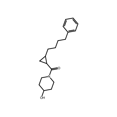 O=C(C1CC1CCCCc1ccccc1)N1CCC(O)CC1